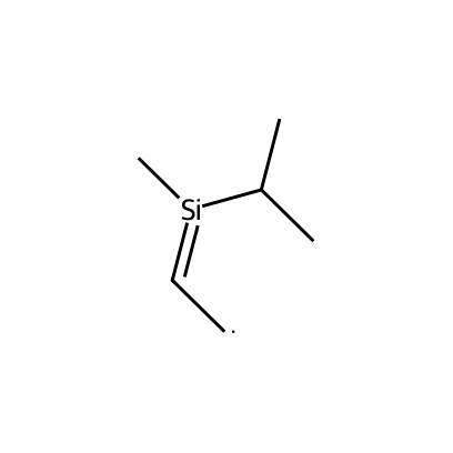 [CH2]C=[Si](C)C(C)C